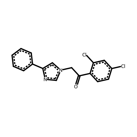 O=C(Cn1cnc(-c2ccccc2)c1)c1ccc(Cl)cc1Cl